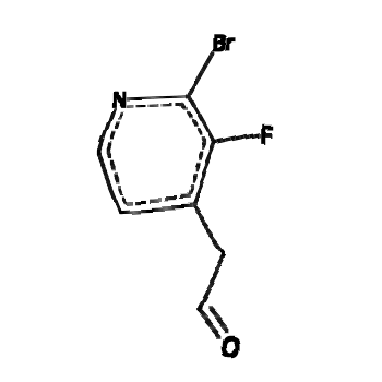 O=CCc1ccnc(Br)c1F